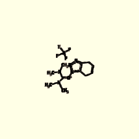 CN(C)C(=[O+]n1nnc2c1CC=CC2)N(C)C.F[B-](F)(F)F